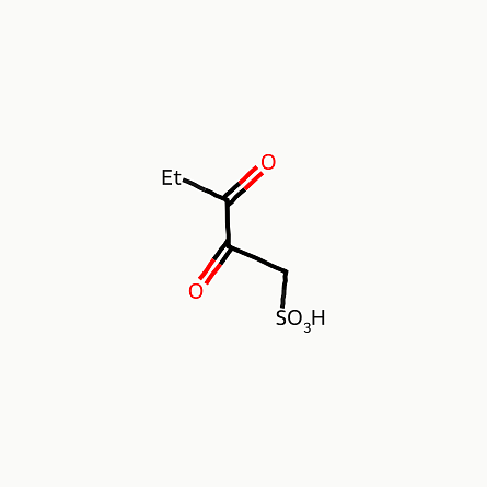 CCC(=O)C(=O)CS(=O)(=O)O